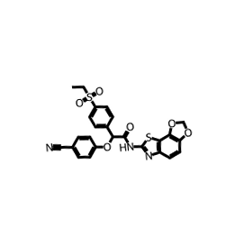 CCS(=O)(=O)c1ccc(C(Oc2ccc(C#N)cc2)C(=O)Nc2nc3ccc4c(c3s2)OCO4)cc1